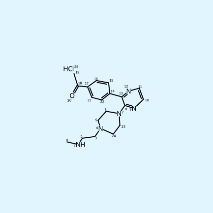 CNCCN1CCN(c2nccnc2-c2ccc(C(C)=O)cc2)CC1.Cl